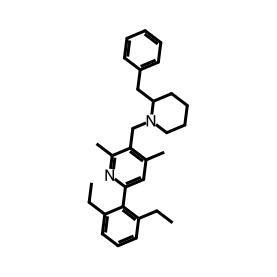 CCc1cccc(CC)c1-c1cc(C)c(CN2CCCCC2Cc2ccccc2)c(C)n1